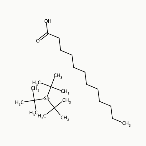 CCCCCCCCCCCC(=O)O.C[C](C)(C)[Sn]([C](C)(C)C)[C](C)(C)C